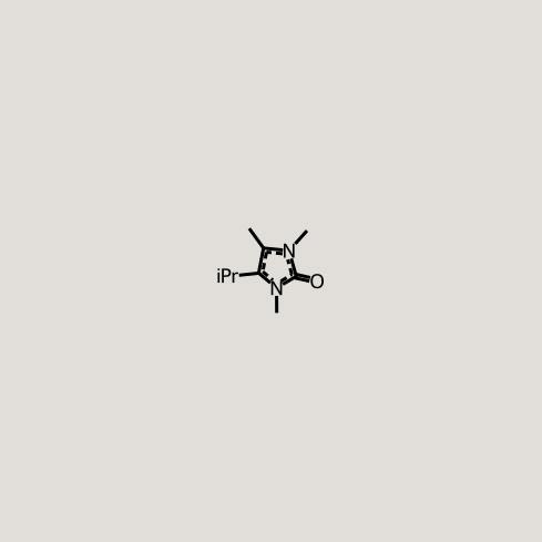 Cc1c(C(C)C)n(C)c(=O)n1C